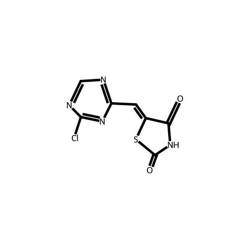 O=C1NC(=O)C(=Cc2ncnc(Cl)n2)S1